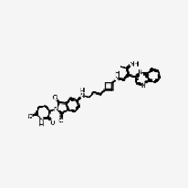 CC(=N)/C(=C\NC1CC(CCCNc2ccc3c(c2)C(=O)N(C2CCC(=O)NC2=O)C3=O)C1)c1cnc2ccccc2n1